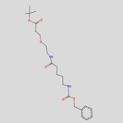 CC(C)(C)OC(=O)CCOCCNC(=O)CCCCNC(=O)OCc1ccccc1